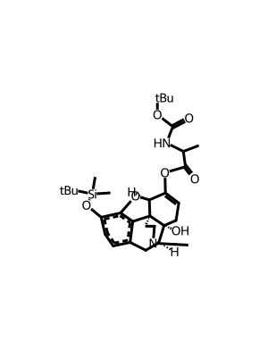 CC(NC(=O)OC(C)(C)C)C(=O)OC1=CC[C@@]2(O)[C@H]3Cc4ccc(O[Si](C)(C)C(C)(C)C)c5c4[C@@]2(CCN3C)[C@H]1O5